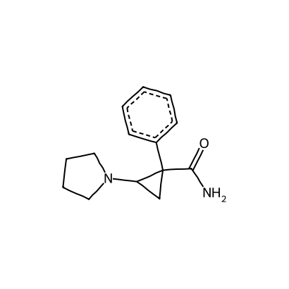 NC(=O)C1(c2ccccc2)CC1N1CCCC1